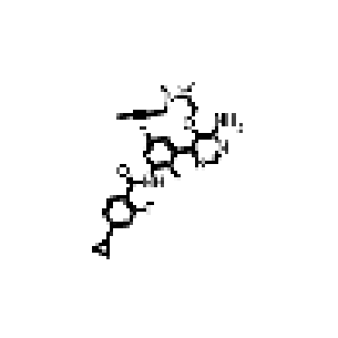 CC#CCN(C)[C@@H](C)COc1c(N)ncnc1-c1cc(F)cc(NC(=O)c2ccc(C3CC3)cc2F)c1C